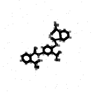 O=C(O)c1cc(OC(=O)c2ccccc2C(=O)O)ccc1OC(=O)c1ccccc1C(=O)O